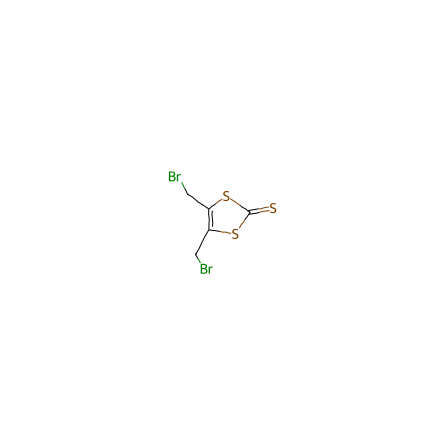 S=c1sc(CBr)c(CBr)s1